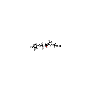 N#CC1CC([C@@H]2CN(C34CC(NC(=O)COc5ccc(Cl)c(F)c5)(C3)C4)C(=O)O2)C1